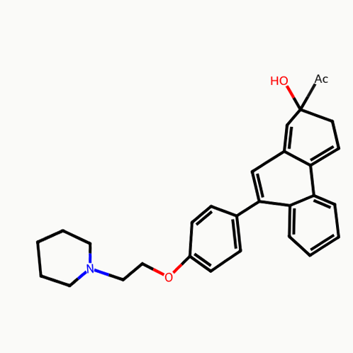 CC(=O)C1(O)C=c2cc(-c3ccc(OCCN4CCCCC4)cc3)c3ccccc3c2=CC1